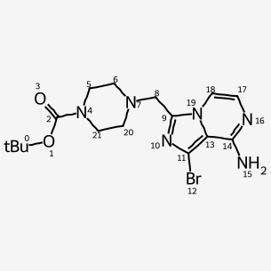 CC(C)(C)OC(=O)N1CCN(Cc2nc(Br)c3c(N)nccn23)CC1